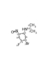 CC(C)Nc1cc(Br)c(F)cc1N=O